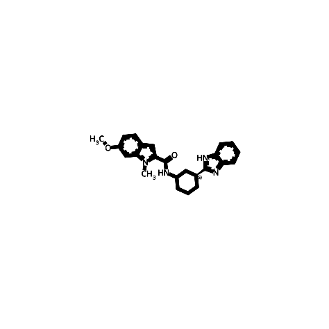 COc1ccc2cc(C(=O)NC3CCC[C@H](c4nc5ccccc5[nH]4)C3)n(C)c2c1